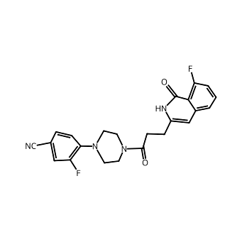 N#Cc1ccc(N2CCN(C(=O)CCc3cc4cccc(F)c4c(=O)[nH]3)CC2)c(F)c1